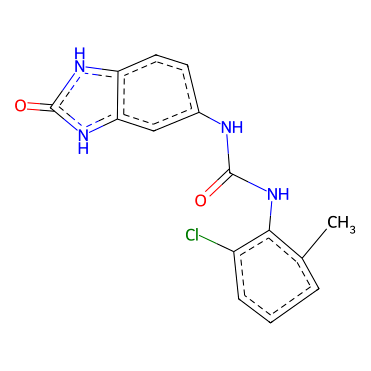 Cc1cccc(Cl)c1NC(=O)Nc1ccc2[nH]c(=O)[nH]c2c1